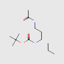 CCC[C@@H](CCNC(C)=O)NC(=O)OC(C)(C)C